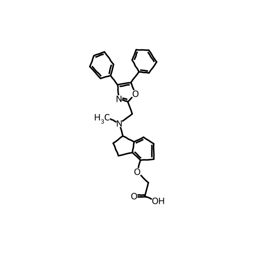 CN(Cc1nc(-c2ccccc2)c(-c2ccccc2)o1)C1CCc2c(OCC(=O)O)cccc21